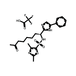 CC(=O)CCCCC[C@H](NS(=O)(=O)c1sc(C)nc1C)c1ncc(-c2ccccc2)[nH]1.O=C(O)C(F)(F)F